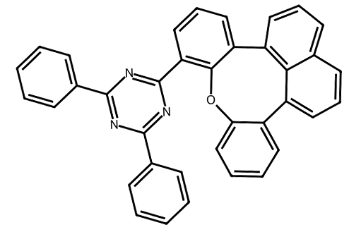 c1ccc(-c2nc(-c3ccccc3)nc(-c3cccc4c3Oc3ccccc3-c3cccc5cccc-4c35)n2)cc1